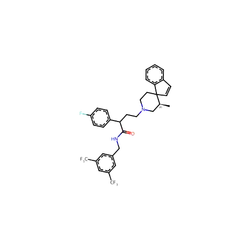 C[C@H]1CN(CCC(C(=O)NCc2cc(C(F)(F)F)cc(C(F)(F)F)c2)c2ccc(F)cc2)CCC12C=Cc1ccccc12